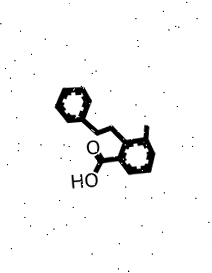 Cc1cccc(C(=O)O)c1CCc1ccccc1